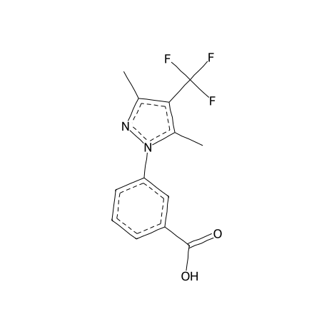 Cc1nn(-c2cccc(C(=O)O)c2)c(C)c1C(F)(F)F